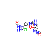 C[C@@H](NC(=O)[C@H](C)N1Cc2ccc(-c3nc(NC4CCOCC4)ncc3Cl)cc2C1=O)c1ccnc(N2CCOCC2)c1